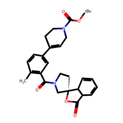 Cc1ccc(C2=CCN(C(=O)OC(C)(C)C)CC2)cc1C(=O)N1CC[C@@]2(C1)OC(=O)C1C=CC=CC12